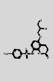 Cc1ccc(S(=O)(=O)Nc2ccc(OCC(O)CCl)c3c2NC(=O)CC3)cc1